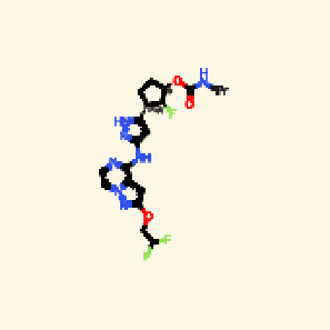 CC(C)NC(=O)O[C@H]1CC[C@@H](c2cc(Nc3nccn4nc(OCC(F)F)cc34)n[nH]2)[C@@H]1F